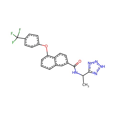 CC(NC(=O)c1ccc2c(Oc3ccc(C(F)(F)F)cc3)cccc2c1)c1nn[nH]n1